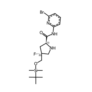 CC(C)(C)[Si](C)(C)OC[C@]1(F)CN[C@H](C(=O)Nc2cccc(Br)n2)C1